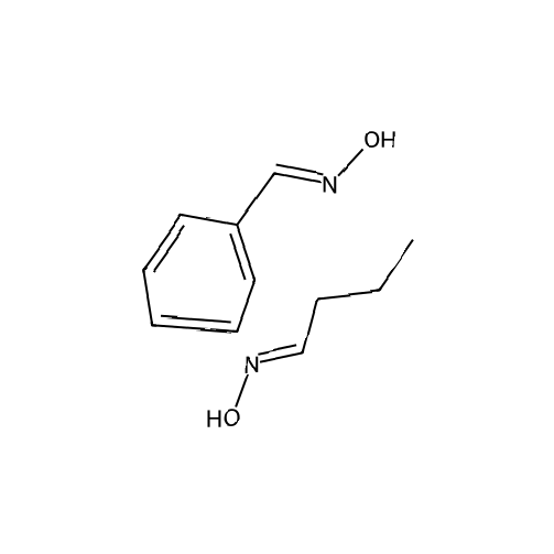 CCCC=NO.ON=Cc1ccccc1